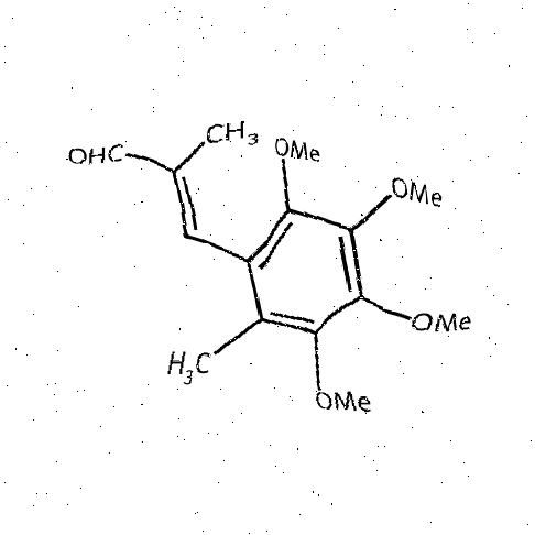 COc1c(C)c(/C=C(\C)C=O)c(OC)c(OC)c1OC